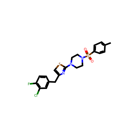 Cc1ccc(S(=O)(=O)N2CCN(c3nc(Cc4ccc(F)c(Cl)c4)cs3)CC2)cc1